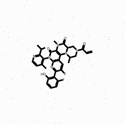 C=CC(=O)N1CC(C)N2c3c(c(=O)n(-c4c(C)ccnc4C(C)C)c4nc(-c5c(O)cccc5F)c(F)cc34)N(C)C(=O)C2C1